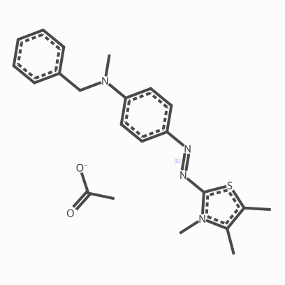 CC(=O)[O-].Cc1sc(/N=N/c2ccc(N(C)Cc3ccccc3)cc2)[n+](C)c1C